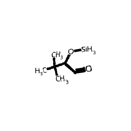 CC(C)(C)C(C=O)O[SiH3]